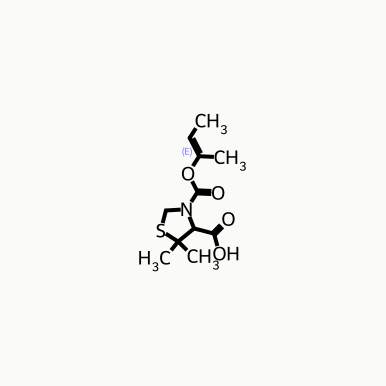 C/C=C(\C)OC(=O)N1CSC(C)(C)C1C(=O)O